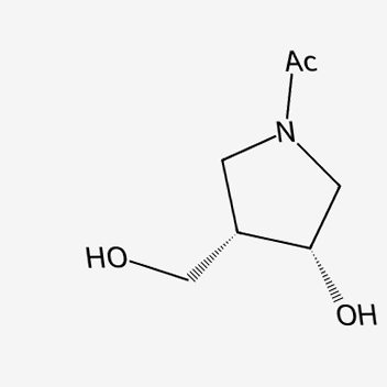 CC(=O)N1C[C@@H](CO)[C@@H](O)C1